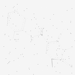 COc1ccccc1NC(=O)n1cc(F)c(=N)n(C)c1=O